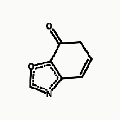 O=C1CC=Cc2ncoc21